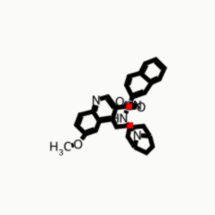 COc1ccc2ncc(C#N)c(CCN3C4CCC3CC(NS(=O)(=O)c3ccc5ccccc5c3)C4)c2c1